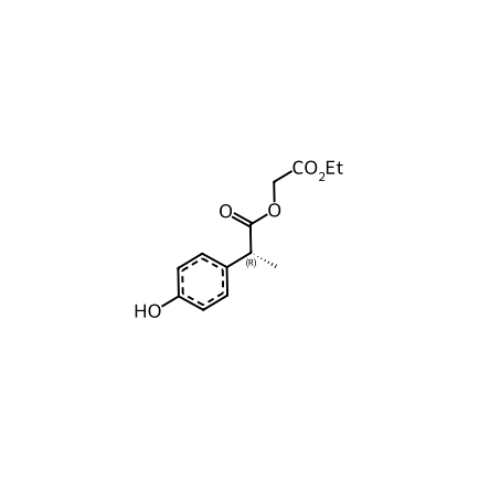 CCOC(=O)COC(=O)[C@H](C)c1ccc(O)cc1